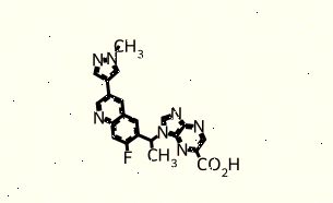 CC(c1cc2cc(-c3cnn(C)c3)cnc2cc1F)n1cnc2ncc(C(=O)O)nc21